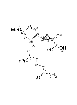 CCCN(CCCC(N)=O)CCc1cc(OC)ccc1[N+](=O)[O-].O=C(O)C(=O)O